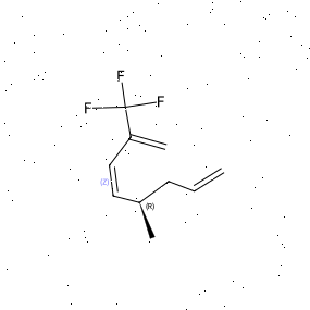 C=CC[C@@H](C)/C=C\C(=C)C(F)(F)F